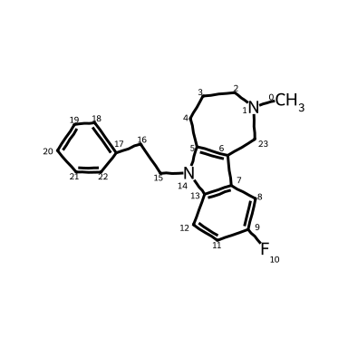 CN1CCCc2c(c3cc(F)ccc3n2CCc2ccccc2)C1